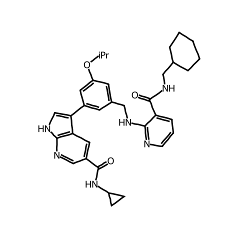 CC(C)Oc1cc(CNc2ncccc2C(=O)NCC2CCCCC2)cc(-c2c[nH]c3ncc(C(=O)NC4CC4)cc23)c1